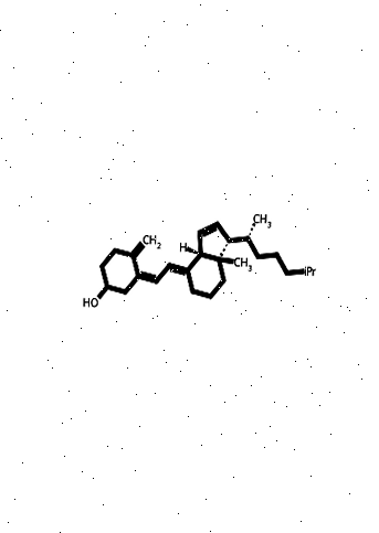 C=C1CCC(O)C/C1=C/C=C1\CCCC2(C)[C@@H]([C@H](C)CCCC(C)C)C=C[C@@H]12